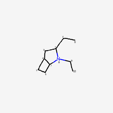 CCC1CC2CCC2N1CC